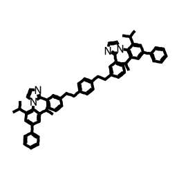 CC(C)c1cc(-c2ccccc2)cc(C(C)C)c1-n1ccnc1-c1cccc(CCc2ccc(CCc3cccc(-c4nccn4-c4c(C(C)C)cc(-c5ccccc5)cc4C(C)C)c3)cc2)c1